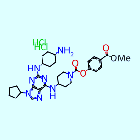 COC(=O)c1ccc(OC(=O)N2CCC(Nc3nc(N[C@H]4CC[C@H](N)CC4)nc4c3ncn4C3CCCC3)CC2)cc1.Cl.Cl